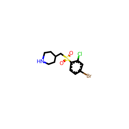 O=S(=O)(CC1CCNCC1)c1ccc(Br)cc1Cl